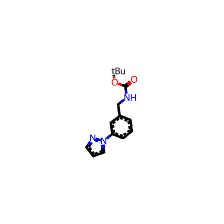 CC(C)(C)OC(=O)NCc1cccc(-n2cccn2)c1